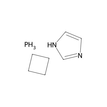 C1CCC1.P.c1c[nH]cn1